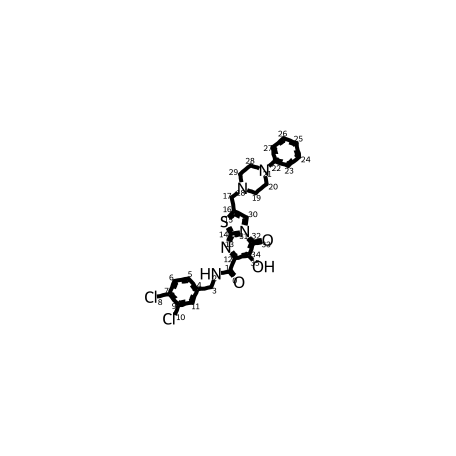 O=C(NCc1ccc(Cl)c(Cl)c1)c1nc2sc(CN3CCN(c4ccccc4)CC3)cn2c(=O)c1O